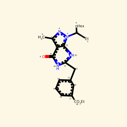 CCCCCCC(CC)n1nc(C)c2c(=O)[nH]c(Cc3cccc(C(=O)OCC)c3)nc21